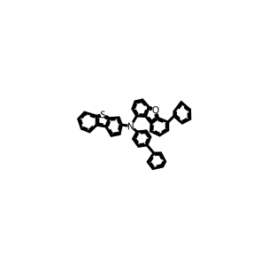 c1ccc(-c2ccc(N(c3ccc4c(c3)sc3ccccc34)c3cccc4oc5c(-c6ccccc6)cccc5c34)cc2)cc1